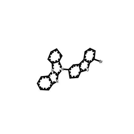 Brc1cccc2c1oc1ccc(-n3c4ccccc4n4c5ccccc5nc34)cc12